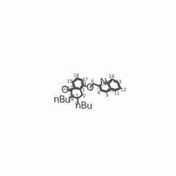 CCCCC1Cc2c(OCc3ccc4ccccc4n3)cccc2C(=O)C1CCCC